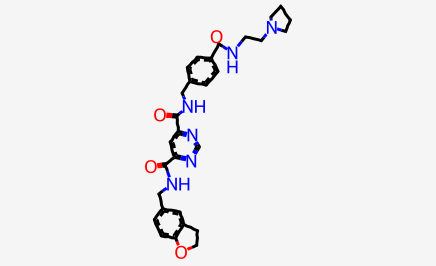 O=C(NCCN1CCCC1)c1ccc(CNC(=O)c2cc(C(=O)NCc3ccc4c(c3)CCO4)ncn2)cc1